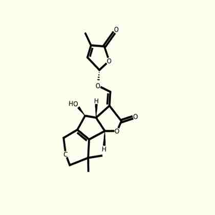 CC1=C[C@@H](O/C=C2/C(=O)O[C@@H]3C4=C(CCCC4(C)C)[C@@H](O)[C@H]23)OC1=O